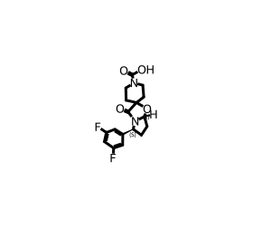 O=C(O)N1CCC2(CC1)O[C@@H]1CC[C@@H](c3cc(F)cc(F)c3)N1C2=O